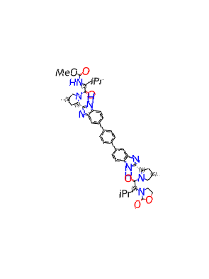 COC(=O)N[C@H](C(=O)N1C[C@@H](C)C[C@H]1c1nc2cc(-c3ccc(-c4ccc5[nH]c([C@@H]6C[C@H](C)CN6C(=O)[C@H](C(C)C)N6CCOC6=O)nc5c4)cc3)ccc2[nH]1)C(C)C